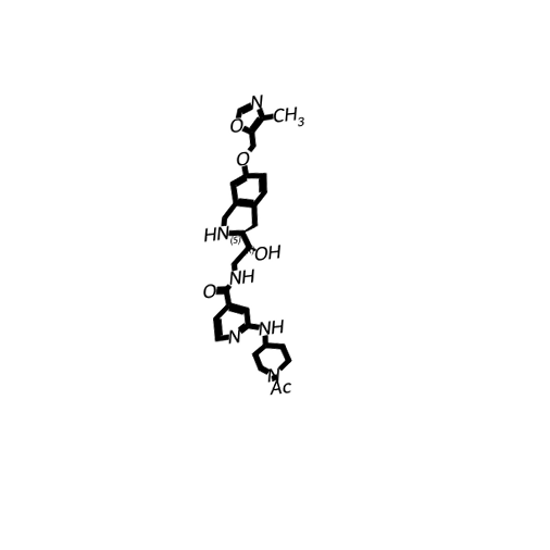 CC(=O)N1CCC(Nc2cc(C(=O)NC[C@@H](O)[C@@H]3Cc4ccc(OCc5ocnc5C)cc4CN3)ccn2)CC1